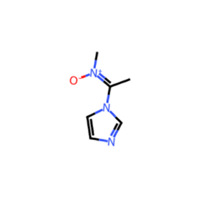 CC(n1ccnc1)=[N+](C)[O-]